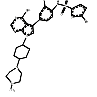 CN1CCN(C2CCC(n3cc(-c4ccc(NS(=O)(=O)c5ccc(Br)s5)c(F)c4)c4c(N)ncnc43)CC2)CC1